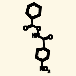 O=C(NOC(=O)c1ccccc1)c1ccc([N+](=O)[O-])cc1